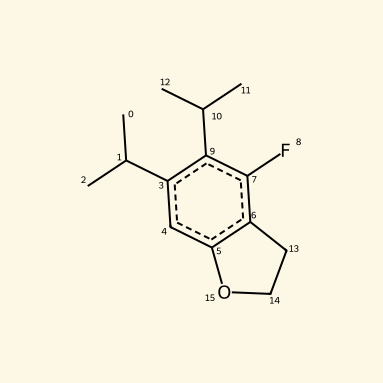 CC(C)c1cc2c(c(F)c1C(C)C)CCO2